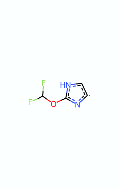 FC(F)Oc1n[c]c[nH]1